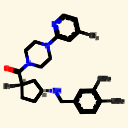 COc1ccc(CN[C@@H]2CC[C@@](C(=O)N3CCN(c4cc(C(F)(F)F)ccn4)CC3)(C(C)C)C2)cc1OC